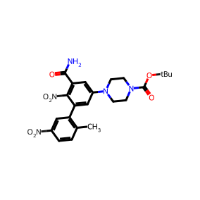 Cc1ccc([N+](=O)[O-])cc1-c1cc(N2CCN(C(=O)OC(C)(C)C)CC2)cc(C(N)=O)c1[N+](=O)[O-]